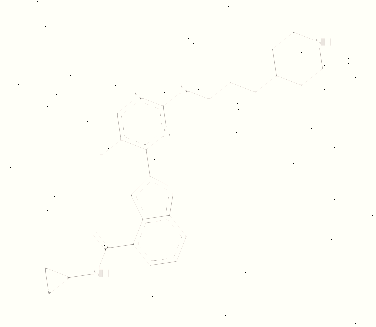 Cl.Cl.O=C(NC1CC1)c1cccc2sc(-c3nc(NCCCC4CCNCC4)ncc3Cl)cc12